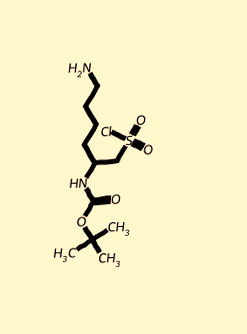 CC(C)(C)OC(=O)NC(CCCCN)CS(=O)(=O)Cl